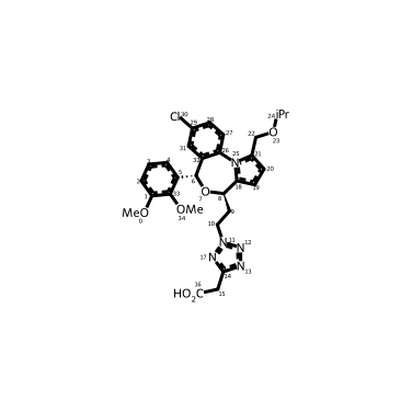 COc1cccc([C@H]2O[C@H](CCn3nnc(CC(=O)O)n3)c3ccc(COC(C)C)n3-c3ccc(Cl)cc32)c1OC